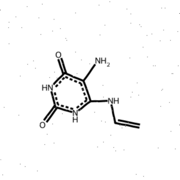 C=CNc1[nH]c(=O)[nH]c(=O)c1N